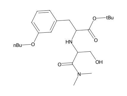 CCCCOc1cccc(CC(NC(CO)C(=O)N(C)C)C(=O)OC(C)(C)C)c1